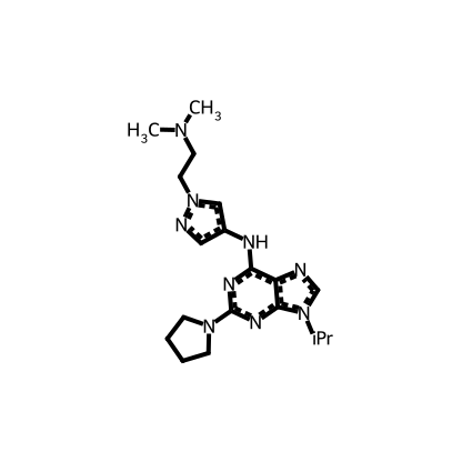 CC(C)n1cnc2c(Nc3cnn(CCN(C)C)c3)nc(N3CCCC3)nc21